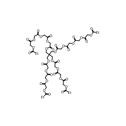 CCC(=O)OCC(=O)OCC(=O)OCC(=O)OCC(=O)OCC(COC(=O)COC(=O)COC(=O)COC(=O)CC)(COC(=O)COC(=O)COC(=O)COC(=O)CC)COC(=O)COC(=O)COC(=O)COC(=O)COC(=O)CC